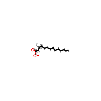 CCCCCCCCCCC[C@@H](C)CC(=O)O